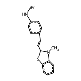 CC(C)Nc1ccc(C=CC2Sc3ccccc3N2C)cc1